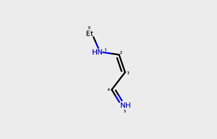 CCN/C=C\C=N